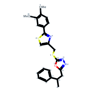 COc1ccc(-c2nc(CSc3nnc(CC(C)c4ccccc4)o3)cs2)cc1OC